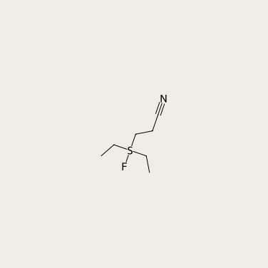 CCS(F)(CC)CCC#N